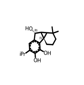 CC(C)c1cc2c(c(O)c1O)[C@@]13CCCC(C)(C)C1C3[C@H]2O